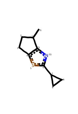 CC1CCc2sc(C3CC3)nc21